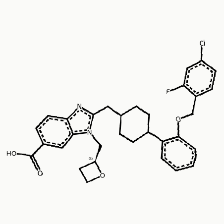 O=C(O)c1ccc2nc(CC3CCC(c4ccccc4OCc4ccc(Cl)cc4F)CC3)n(C[C@@H]3CCO3)c2c1